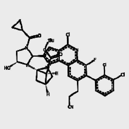 CC(C)(C)OC(=O)N1C[C@H]2C[C@@H]1[C@H]2n1c([C@H]2C[C@H](O)CN2C(=O)C2CC2)cc2c(Cl)nc3c(F)c(-c4cccc(Cl)c4Cl)c(CCC#N)cc3c21